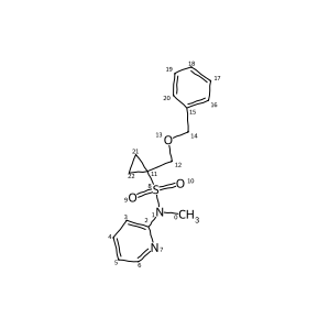 CN(c1ccccn1)S(=O)(=O)C1(COCc2ccccc2)CC1